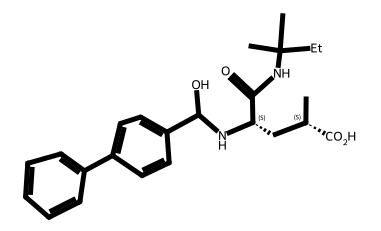 CCC(C)(C)NC(=O)[C@H](C[C@H](C)C(=O)O)NC(O)c1ccc(-c2ccccc2)cc1